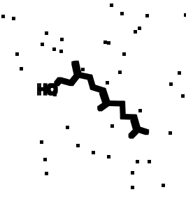 C=C(CCO)CC/C=C(\C)CCC=C(C)C